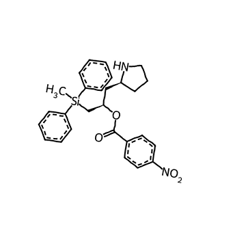 C[Si](C[C@@H](C[C@@H]1CCCN1)OC(=O)c1ccc([N+](=O)[O-])cc1)(c1ccccc1)c1ccccc1